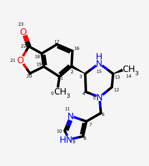 Cc1c([C@@H]2CN(Cc3c[nH]cn3)C[C@H](C)N2)ccc2c1COC2=O